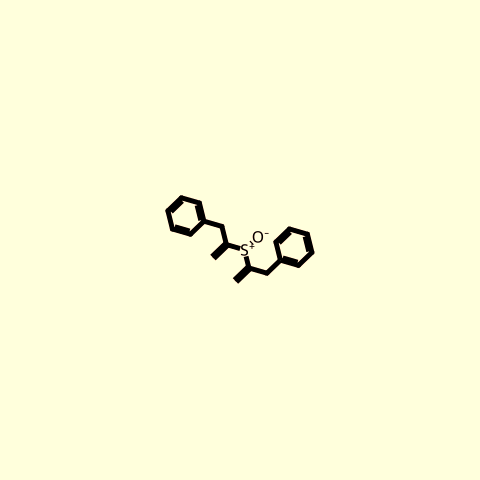 C=C(Cc1ccccc1)[S+]([O-])C(=C)Cc1ccccc1